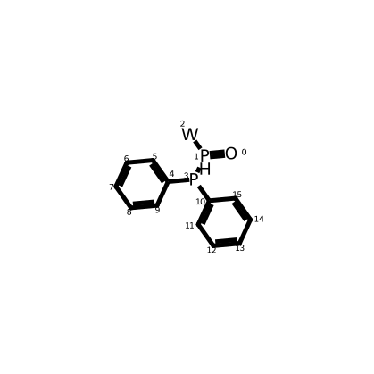 O=[PH]([W])P(c1ccccc1)c1ccccc1